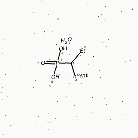 CCCCCC(CC)P(=O)(O)O.O